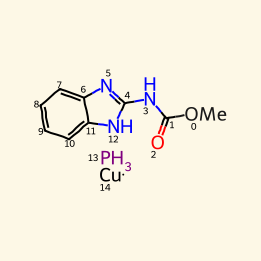 COC(=O)Nc1nc2ccccc2[nH]1.P.[Cu]